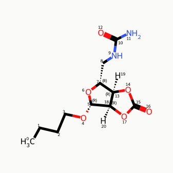 CCCCO[C@@H]1O[C@H](CNC(N)=O)[C@H]2OC(=O)O[C@@H]12